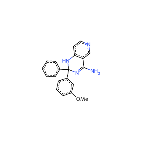 COc1cccc(C2(c3ccccc3)N=C(N)c3cnccc3N2)c1